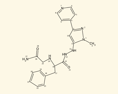 Cn1nc(-c2ccncc2)cc1NNC(=O)C(Cc1ccccc1)NCC(N)=O